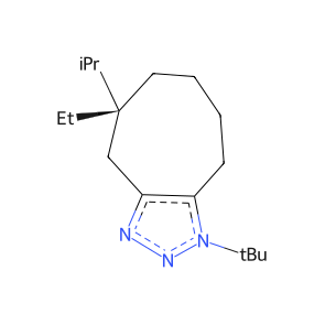 CC[C@@]1(C(C)C)CCCCc2c(nnn2C(C)(C)C)C1